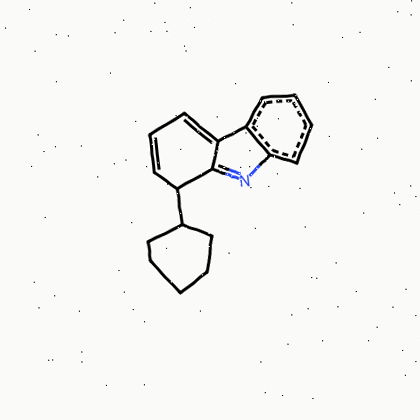 C1=CC(C2CCCCC2)C2=Nc3ccccc3C2=C1